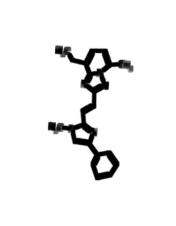 CCc1ccc(C)n2nc(C=Cc3nc(-c4ccccc4)cn3C)nc12